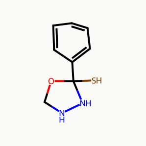 SC1(c2ccccc2)NNCO1